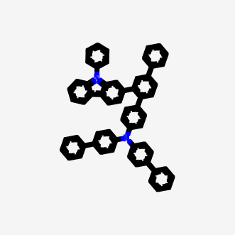 c1ccc(-c2ccc(N(c3ccc(-c4ccccc4)cc3)c3ccc(-c4ccc(-c5ccccc5)cc4-c4ccc5c6ccccc6n(-c6ccccc6)c5c4)cc3)cc2)cc1